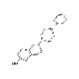 Oc1ccc2cc(-c3ccc(-c4ccccc4)cc3)ccc2c1